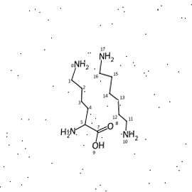 NCCCCC(N)C(=O)O.NCCCCCCN